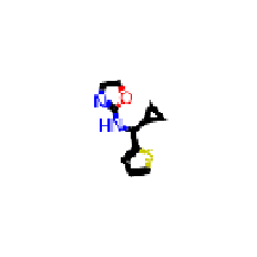 c1csc(C(NC2=NCCO2)C2CC2)c1